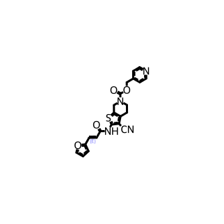 N#Cc1c(NC(=O)/C=C/c2ccco2)sc2c1CCN(C(=O)OCc1ccncc1)C2